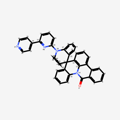 O=c1c2ccccc2c2cccc3c2n1-c1ccccc1C31c2ccccc2N(c2cccc(-c3ccncc3)n2)c2ccccc21